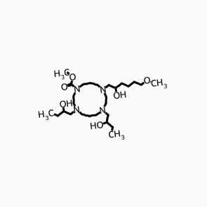 CCC(O)CN1CCCN(CC(O)CC)CCN(C(=O)OC)CCCN(CC(O)CCCCOC)CC1